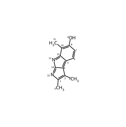 CC1=C(C)C2=c3ccc(O)c(C)c3=NC2=N1